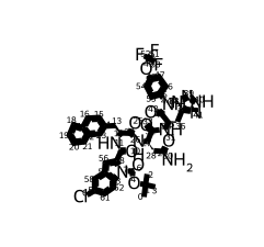 CC(C)(C)OC(=O)n1c(C(=O)N[C@@H](Cc2ccc3ccccc3c2)C(=O)N[C@@H](CC(N)=O)C(=O)N[C@@H](Cc2nn[nH]n2)C(=O)Nc2ccc(OC(F)(F)F)cc2)cc2cc(Cl)ccc21